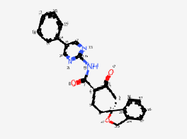 O=C1C[C@@]2(CC[C@H]1C(=O)Nc1ncc(-c3ccccc3)cn1)OCc1ccccc12